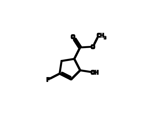 COC(=O)C1CC(F)=CC1O